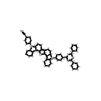 N#Cc1ccc(-n2c3ccccc3c3c4oc5c(ccc6c5c5ccccc5n6-c5ccc(-c6nc(-c7ccccc7)nc(-c7ccccc7)n6)cc5)c4ccc32)cc1